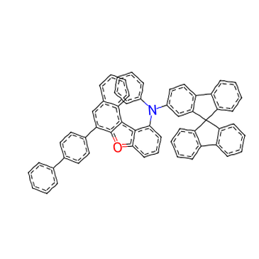 c1ccc(-c2ccc(-c3cc4ccccc4c4c3oc3cccc(N(c5ccccc5)c5ccc6c(c5)C5(c7ccccc7-c7ccccc75)c5ccccc5-6)c34)cc2)cc1